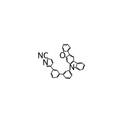 N#Cc1ccc(-c2cccc(-c3cccc(-n4c5ccccc5c5cc6c(cc54)oc4ccccc46)c3)c2)cn1